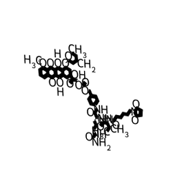 C=C1C[C@H](O[C@H]2C[C@](O)(C(=O)COC(=O)OCc3ccc(NC(=O)[C@@H](CCCNC(N)=O)NC(=O)[C@H](NC(=O)CCCCCN4C(=O)C=CC4=O)C(C)C)cc3)Cc3c(O)c4c(c(O)c32)C(=O)c2c(OC)cccc2C4=O)O[C@@H](C)C1